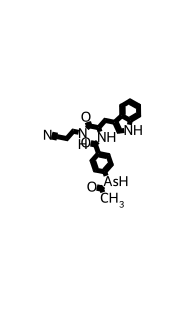 CC(=O)[AsH]c1ccc(C(=O)NC(Cc2c[nH]c3ccccc23)C(=O)NCCC#N)cc1